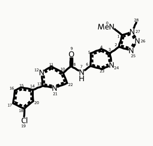 CNc1c(-c2ccc(NC(=O)c3cnc(-c4cccc(Cl)c4)nc3)cn2)nnn1C